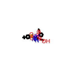 CCOc1ccccc1Oc1c(NS(=O)(=O)c2ccc(C(C)(C)C)cc2)ncnc1OCCO